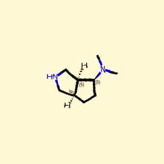 CN(C)[C@H]1CC[C@H]2CNC[C@H]21